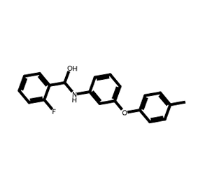 Cc1ccc(Oc2cccc(NC(O)c3ccccc3F)c2)cc1